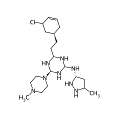 CC1C[C@@H](NC2NC(CC[C@@H]3CC=CC(Cl)C3)N[C@H](N3CCN(C)CC3)N2)NN1